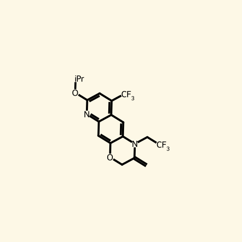 C=C1COc2cc3nc(OC(C)C)cc(C(F)(F)F)c3cc2N1CC(F)(F)F